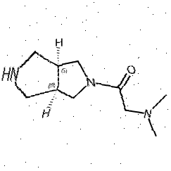 CN(C)CC(=O)N1C[C@H]2CNC[C@H]2C1